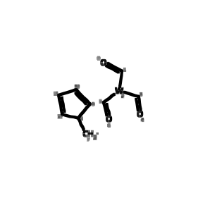 O=[CH][W]([CH]=O)[CH]=O.[CH2]C1C=CC=C1